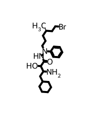 C[C@H](CCBr)CCCN(NC(=O)C(O)C(N)CC1CCCCC1)c1ccccc1